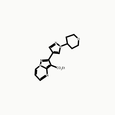 CCOC(=O)c1c(-c2cnn(C3CCOCC3)c2)nn2cccnc12